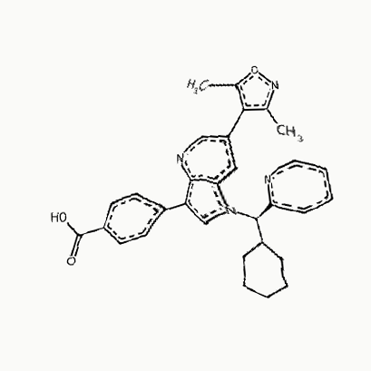 Cc1noc(C)c1-c1cnc2c(-c3ccc(C(=O)O)cc3)cn([C@@H](c3ccccn3)C3CCCCC3)c2c1